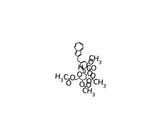 COc1cc(Cc2cc3cccccc-3c2)cc([C@@H]2O[C@H](COC(C)=O)[C@@H](OC(C)=O)[C@H](OC(C)=O)[C@H]2OC(C)=O)c1